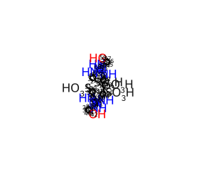 O=S(=O)(O)c1cccc(Nc2nc(Nc3ccc(C=Cc4ccc(Nc5nc(Nc6cccc(S(=O)(=O)O)c6)nc(Nc6ccccc6O)n5)cc4S(=O)(=O)O)c(S(=O)(=O)O)c3)nc(Nc3ccccc3O)n2)c1